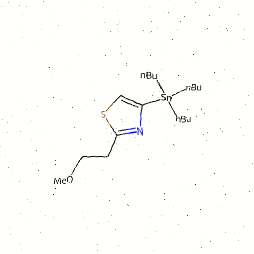 CCC[CH2][Sn]([CH2]CCC)([CH2]CCC)[c]1csc(CCOC)n1